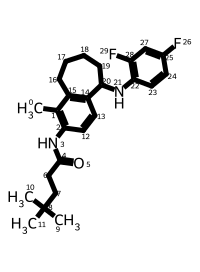 Cc1c(NC(=O)CCC(C)(C)C)ccc2c1CCCCC2Nc1ccc(F)cc1F